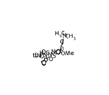 COc1cc2sc(N(C)C(=O)C3(CC(=O)OC(C)(C)C)Cc4ccccc4C3)nc2cc1OCCOCCN(C)C